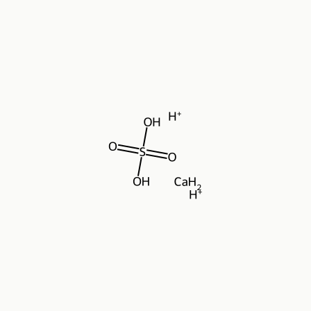 O=S(=O)(O)O.[CaH2].[H+].[H+]